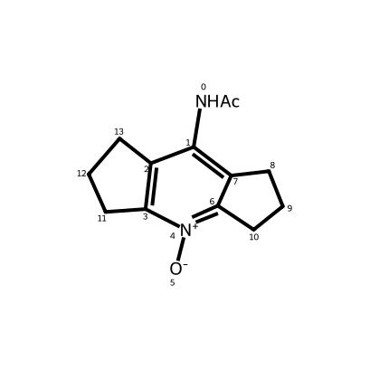 CC(=O)Nc1c2c([n+]([O-])c3c1CCC3)CCC2